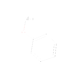 [CH2]CC[CH]Oc1ccccc1